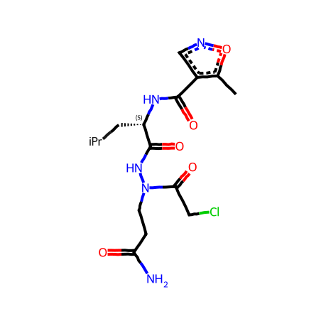 Cc1oncc1C(=O)N[C@@H](CC(C)C)C(=O)NN(CCC(N)=O)C(=O)CCl